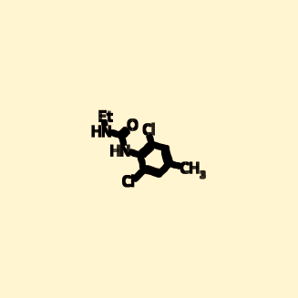 CCNC(=O)Nc1c(Cl)cc(C)cc1Cl